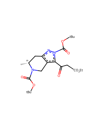 CCOC(=O)CC(=O)c1c2c(nn1C(=O)OC(C)(C)C)C[C@@H](C)N(C(=O)OC(C)(C)C)C2